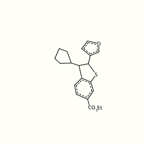 CCOC(=O)c1ccc2c(c1)SC(c1ccoc1)C2C1CCCC1